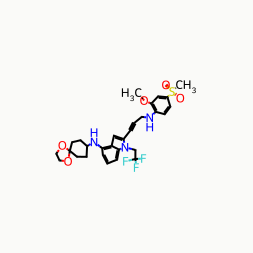 COc1cc(S(C)(=O)=O)ccc1NCC#Cc1cc2c(NC3CCC4(CC3)OCCO4)cccc2n1CC(F)(F)F